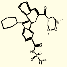 CNS(=O)(=O)NC(=O)c1ccc2c(C3CCCCC3)c3n(c2c1)CC(C(=O)N1C[C@@H](C)O[C@@H](C)C1)=Cc1ccccc1-3